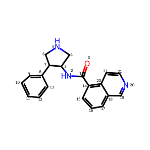 O=C(NC1CNCC1c1ccccc1)c1cccc2cnccc12